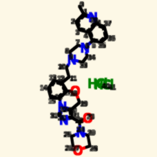 Cc1ccc2c(N3CCN(CCc4cccc5c4OCc4c(C(=O)N6CCOCC6)ncn4-5)CC3)cccc2n1.Cl.Cl